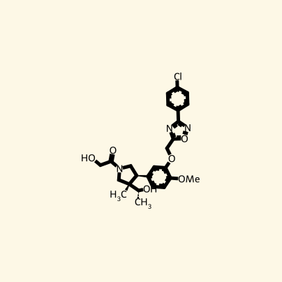 COc1ccc([C@@H]2CN(C(=O)CO)C[C@@]2(C)[C@@H](C)O)cc1OCc1nc(-c2ccc(Cl)cc2)no1